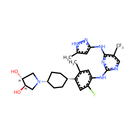 Cc1cc(Nc2nc(Nc3cc(C)c([C@H]4CC[C@@H](N5C[C@@H](O)[C@H](O)C5)CC4)cc3F)ncc2C(F)(F)F)n[nH]1